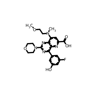 COCCN(C)c1cc(C(=O)O)nc2c(-c3cc(O)cc(F)c3)nc(N3CCOCC3)nc12